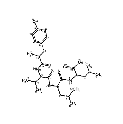 CC(C)CC(NC(=O)C(CC(C)C)NC(=O)C(NC(=O)C(N)Cc1ccc(O)cc1)C(C)C)C(=O)O